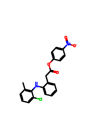 Cc1cccc(Cl)c1Nc1ccccc1CC(=O)Oc1ccc([N+](=O)[O-])cc1